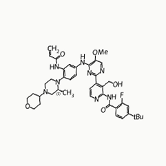 C=CC(=O)Nc1cc(Nc2nc(-c3ccnc(NC(=O)c4ccc(C(C)(C)C)cc4F)c3CO)ncc2OC)ccc1N1CCN(C2CCOCC2)C[C@@H]1C